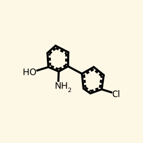 Nc1c(O)cccc1-c1ccc(Cl)cc1